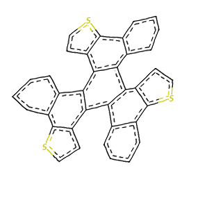 c1ccc2c(c1)c1sccc1c1c3c4ccccc4c4sccc4c3c3c4ccccc4c4sccc4c3c21